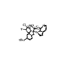 CC(C)(C)c1ccc(CC(C(N)=O)(c2ccc(F)c(Cl)c2)n2ccc3ccnc(C(=O)O)c32)cc1